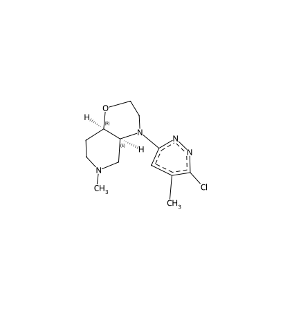 Cc1cc(N2CCO[C@@H]3CCN(C)C[C@@H]32)nnc1Cl